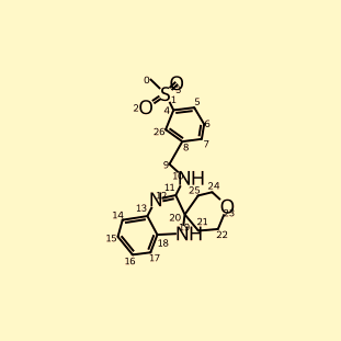 CS(=O)(=O)c1cccc(CNC2=Nc3ccccc3NC23CCOCC3)c1